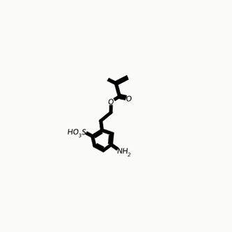 C=C(C)C(=O)OCCc1cc(N)ccc1S(=O)(=O)O